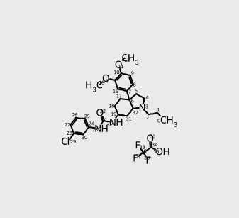 CCCN1CCC2(c3ccc(OC)c(OC)c3)CCC(NC(=O)Nc3cccc(Cl)c3)CC12.O=C(O)C(F)(F)F